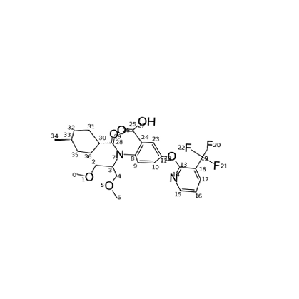 COCC(COC)N(c1ccc(Oc2ncccc2C(F)(F)F)cc1C(=O)O)C(=O)[C@H]1CC[C@H](C)CC1